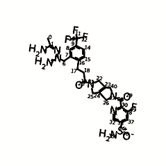 C/C(N)=N/N(N)Cc1cc(C(F)(F)F)ccc1CCC(=O)N1CC2=C(C1)CN(C(=O)c1ncc([S+](N)[O-])cc1F)C2